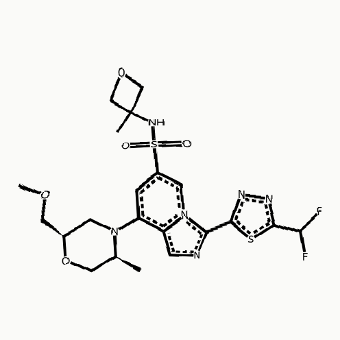 COC[C@H]1CN(c2cc(S(=O)(=O)NC3(C)COC3)cn3c(-c4nnc(C(F)F)s4)ncc23)[C@@H](C)CO1